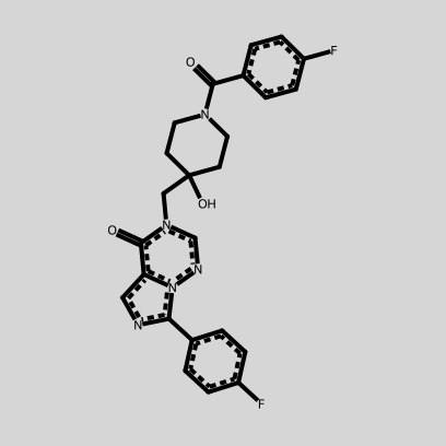 O=C(c1ccc(F)cc1)N1CCC(O)(Cn2cnn3c(-c4ccc(F)cc4)ncc3c2=O)CC1